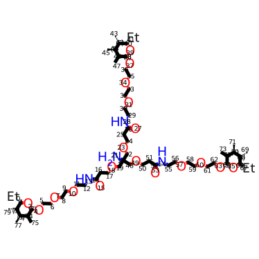 CCC1O[C@H](OCCOCCOCCNC(=O)CCOCC(N)(COCCC(=O)NCCOCCOCCO[C@H]2OC(CC)[C@@H](C)[C@H](C)C2C)COCCC(=O)NCCOCCOCCO[C@H]2OC(CC)[C@@H](C)[C@H](C)C2C)C(C)[C@@H](C)[C@@H]1C